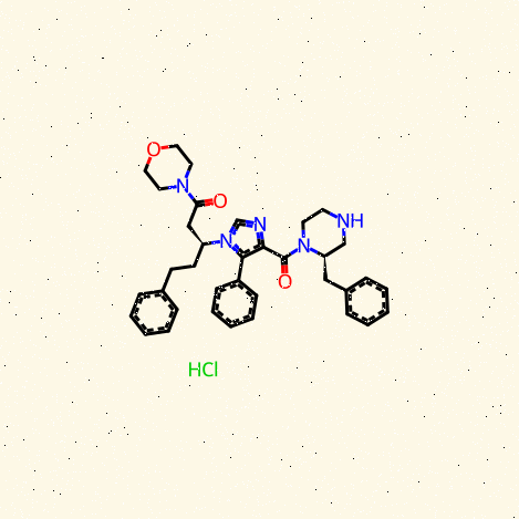 Cl.O=C(C[C@H](CCc1ccccc1)n1cnc(C(=O)N2CCNC[C@H]2Cc2ccccc2)c1-c1ccccc1)N1CCOCC1